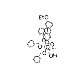 CCOc1ccc(Cc2cc([C@@]34OC(C)(C)[C@@](CO)(O3)[C@@H](OCc3ccccc3)[C@H](OCc3ccccc3)[C@H]4OCc3ccccc3)ccc2Cl)cc1